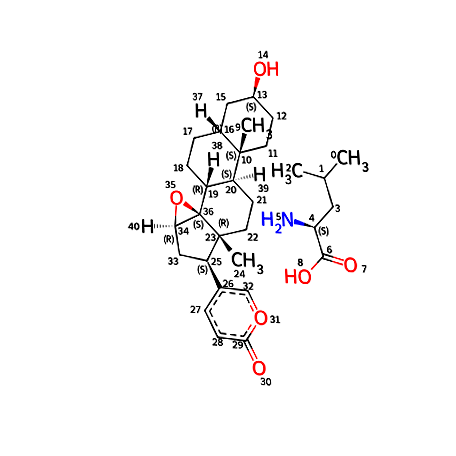 CC(C)C[C@H](N)C(=O)O.C[C@]12CC[C@H](O)C[C@H]1CC[C@@H]1[C@@H]2CC[C@]2(C)[C@@H](c3ccc(=O)oc3)C[C@H]3O[C@]132